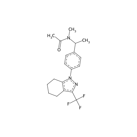 CC(=O)N(C)C(C)c1ccc(-n2nc(C(F)(F)F)c3c2CCCC3)cc1